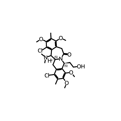 COc1c(C)c(OC)c2c(c1Cl)C(N(C)C)[C@@H]1Cc3c(Cl)c(C)c(OC)c(OC)c3[C@H](CCO)N1C(=O)C2